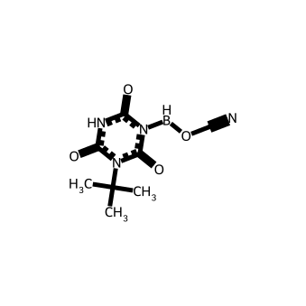 CC(C)(C)n1c(=O)[nH]c(=O)n(BOC#N)c1=O